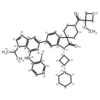 COC1(C(=O)N2CCC3(CC2)C(=O)N([C@H]2C[C@@H](N4CCCCC4)C2)c2cc(-c4cc5ncn(C(C)C)c5c(Nc5ccncc5F)n4)ccc23)COC1